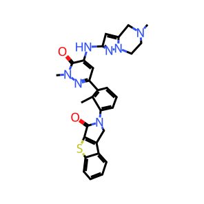 Cc1c(-c2cc(Nc3cc4n(n3)CCN(C)C4)c(=O)n(C)n2)cccc1N1Cc2c(sc3ccccc23)C1=O